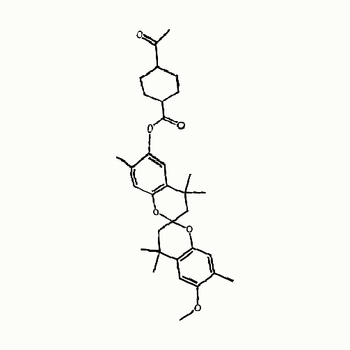 COc1cc2c(cc1C)OC1(CC2(C)C)CC(C)(C)c2cc(OC(=O)C3CCC(C(C)=O)CC3)c(C)cc2O1